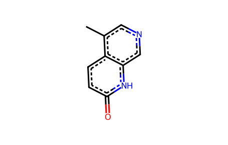 Cc1cncc2[nH]c(=O)ccc12